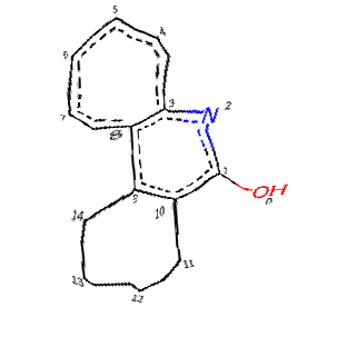 Oc1nc2ccccc2c2c1CCCC2